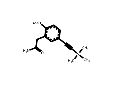 COc1ccc(C#C[Si](C)(C)C)cc1CC(N)=O